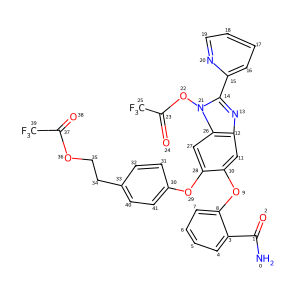 NC(=O)c1ccccc1Oc1cc2nc(-c3ccccn3)n(OC(=O)C(F)(F)F)c2cc1Oc1ccc(CCOC(=O)C(F)(F)F)cc1